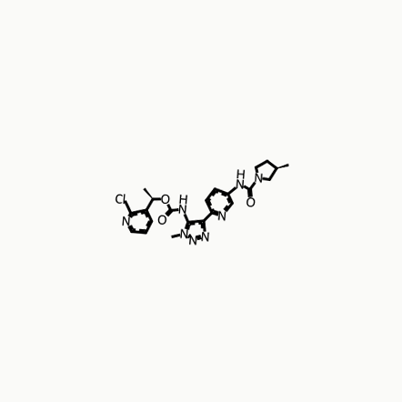 C[C@@H]1CCN(C(=O)Nc2ccc(-c3nnn(C)c3NC(=O)O[C@H](C)c3cccnc3Cl)nc2)C1